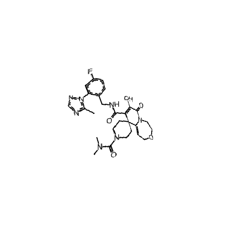 Cc1ncnn1-c1cc(F)ccc1CNC(=O)C1=C(O)C(=O)N2CCOCC=C2C12CCN(C(=O)N(C)C)CC2